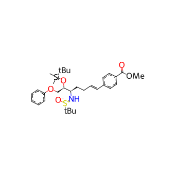 COC(=O)c1ccc(C=CCC[C@@H](N[S+]([O-])C(C)(C)C)[C@@H](COc2ccccc2)O[Si](C)(C)C(C)(C)C)cc1